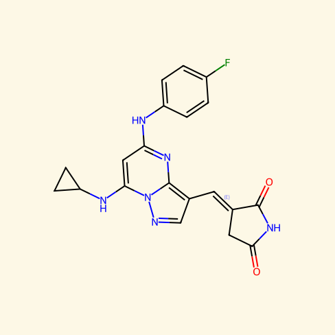 O=C1C/C(=C\c2cnn3c(NC4CC4)cc(Nc4ccc(F)cc4)nc23)C(=O)N1